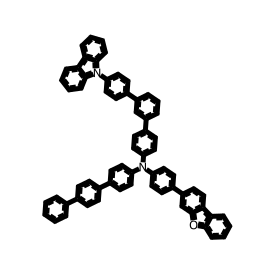 c1ccc(-c2ccc(-c3ccc(N(c4ccc(-c5cccc(-c6ccc(-n7c8ccccc8c8ccccc87)cc6)c5)cc4)c4ccc(-c5ccc6c(c5)oc5ccccc56)cc4)cc3)cc2)cc1